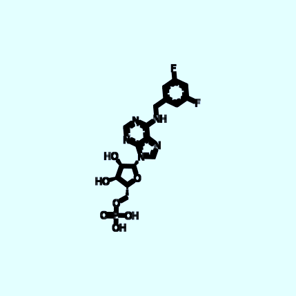 O=P(O)(O)OC[C@H]1O[C@@H](n2cnc3c(NCc4cc(F)cc(F)c4)ncnc32)[C@H](O)[C@@H]1O